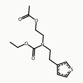 CCOC(=O)N(CCOC(C)=O)CCc1ccsc1